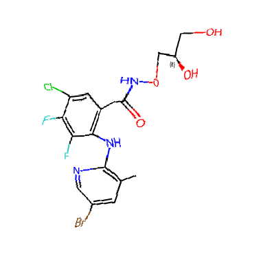 Cc1cc(Br)cnc1Nc1c(C(=O)NOC[C@H](O)CO)cc(Cl)c(F)c1F